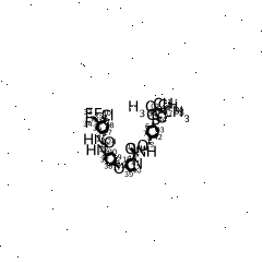 CC1(C)OB(c2ccc(CONC(=O)c3cc(Oc4ccc(NC(=O)Nc5ccc(Cl)c(C(F)(F)F)c5)cc4)ccn3)cc2)OC1(C)C